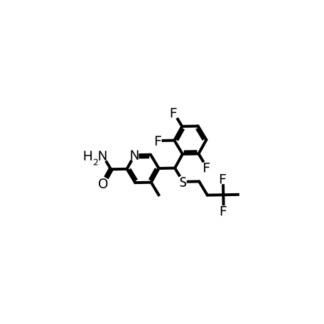 Cc1cc(C(N)=O)ncc1C(SCCC(C)(F)F)c1c(F)ccc(F)c1F